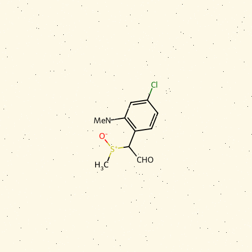 CNc1cc(Cl)ccc1C(C=O)[S+](C)[O-]